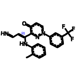 Cc1ccccc1N/C(=C\C=N)c1nn(-c2cccc(C(F)(F)F)c2)ccc1=O